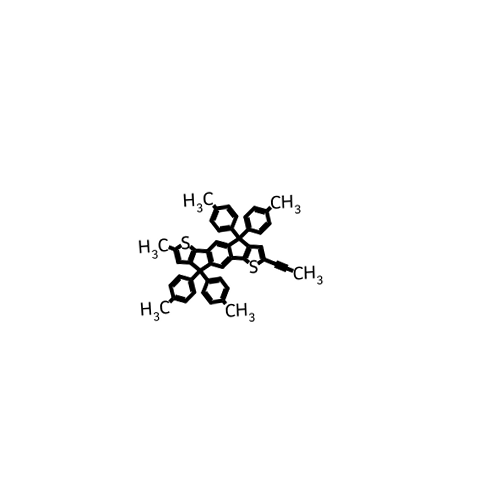 CC#Cc1cc2c(s1)-c1cc3c(cc1C2(c1ccc(C)cc1)c1ccc(C)cc1)-c1sc(C)cc1C3(c1ccc(C)cc1)c1ccc(C)cc1